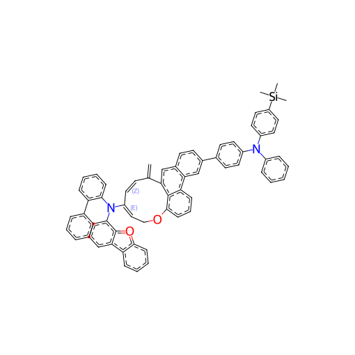 C=C1/C=C\C(N(c2ccccc2-c2ccccc2)c2cccc3c2oc2ccccc23)=C/COc2cccc3c2c1cc1ccc(-c2ccc(N(c4ccccc4)c4ccc([Si](C)(C)C)cc4)cc2)cc13